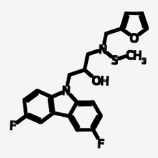 CSN(Cc1ccco1)CC(O)Cn1c2ccc(F)cc2c2cc(F)ccc21